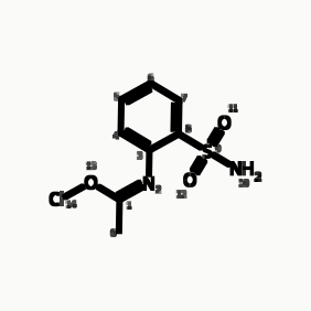 CC(=Nc1ccccc1S(N)(=O)=O)OCl